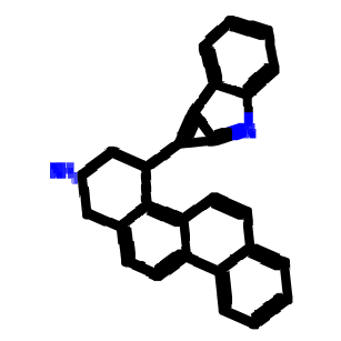 N.c1ccc2c(c1)ccc1c3c(ccc12)CCCC3c1c2nc3ccccc3c1-2